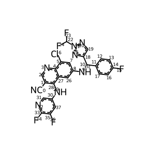 N#Cc1cnc2c(Cl)cc(N[C@@H](c3ccc(F)cc3)c3cnn(C(F)F)n3)cc2c1Nc1cnc(F)c(F)c1